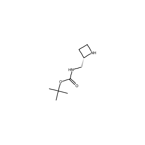 CC(C)(C)OC(=O)NC[C@@H]1CCN1